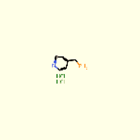 Cl.Cl.PCc1ccncc1